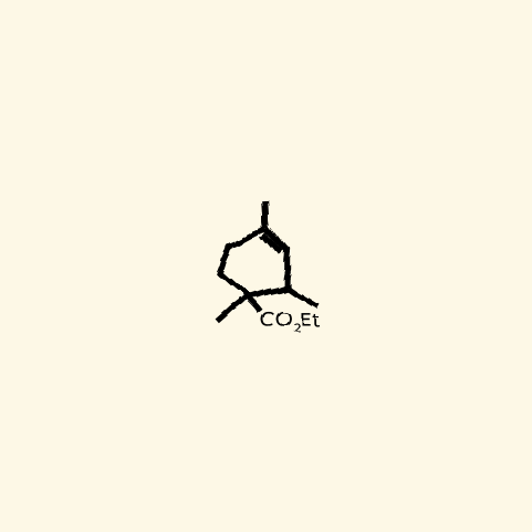 CCOC(=O)C1(C)CCC(C)=CC1C